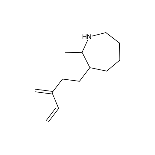 C=CC(=C)CCC1CCCCNC1C